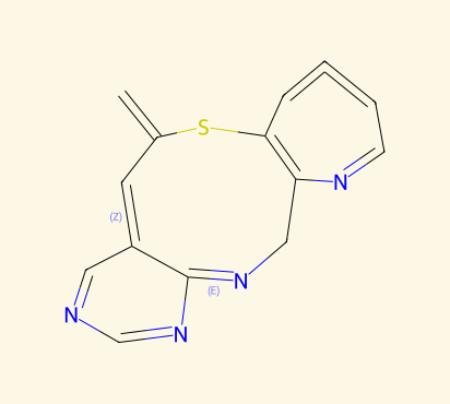 C=C1/C=c2/cncn/c2=N/CC2=C(C=C=CC=N2)S1